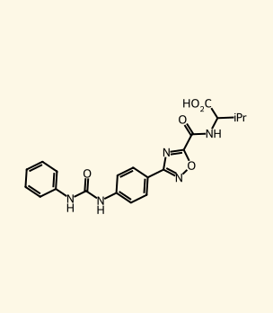 CC(C)C(NC(=O)c1nc(-c2ccc(NC(=O)Nc3ccccc3)cc2)no1)C(=O)O